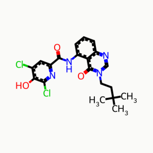 CC(C)(C)CCn1cnc2cccc(NC(=O)c3cc(Cl)c(O)c(Cl)n3)c2c1=O